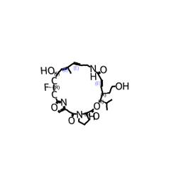 CC1=C\[C@@H](O)C[C@@H](F)Cc2nc(co2)C(=O)N2CCC[C@@H]2C(=O)O[C@H](C(C)C)[C@H](CCO)/C=C/C(=O)NC\C=C\1